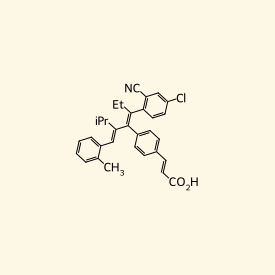 CC/C(=C(\C(=C\c1ccccc1C)C(C)C)c1ccc(/C=C/C(=O)O)cc1)c1ccc(Cl)cc1C#N